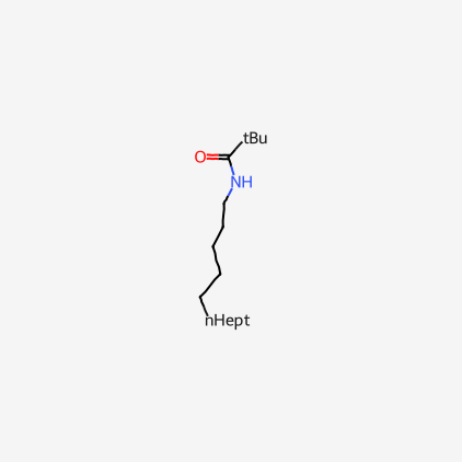 CCCCCCCCCCCCNC(=O)C(C)(C)C